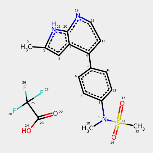 Cc1cc2c(-c3ccc(N(C)S(C)(=O)=O)cc3)ccnc2[nH]1.O=C(O)C(F)(F)F